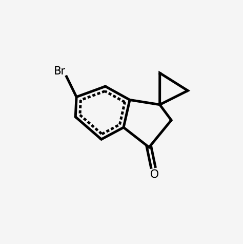 O=C1CC2(CC2)c2cc(Br)ccc21